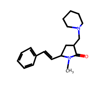 CN1C(=O)C(CN2CCCCC2)CC1C=Cc1ccccc1